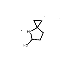 OC1CCC2(CC2)N1